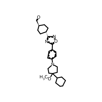 COC1(C2CCCCC2)CCN(c2ccc(-c3nc([C@H]4CC[C@H](C=O)CC4)no3)cc2)CC1